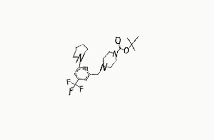 CC(C)(C)OC(=O)N1CCN(Cc2cc(N3CCCC3)cc(C(F)(F)F)c2)CC1